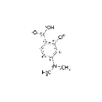 CN(C)c1ccc(C(=O)O)c(Cl)c1